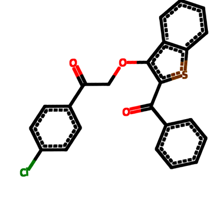 O=C(COc1c(C(=O)c2ccccc2)sc2ccccc12)c1ccc(Cl)cc1